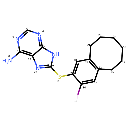 Nc1ncnc2[nH]c(Sc3cc4c(cc3I)CCCCCC4)nc12